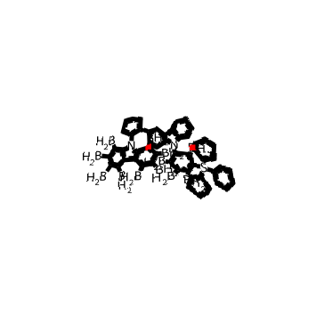 Bc1c(B)c(-n2c3ccccc3c3cc(-c4ccccc4-n4c5c(B)c(B)c(B)c(B)c5c5c(B)c(B)c(B)c(B)c54)ccc32)c(B)c(S(c2ccccc2)(c2ccccc2)c2ccccc2)c1B